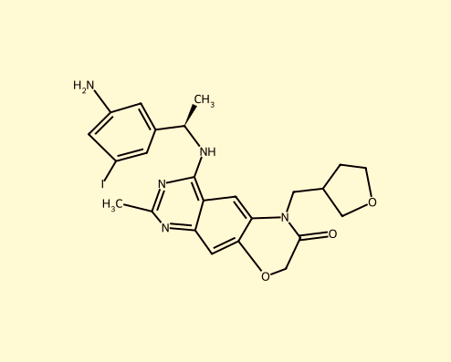 Cc1nc(N[C@H](C)c2cc(N)cc(I)c2)c2cc3c(cc2n1)OCC(=O)N3CC1CCOC1